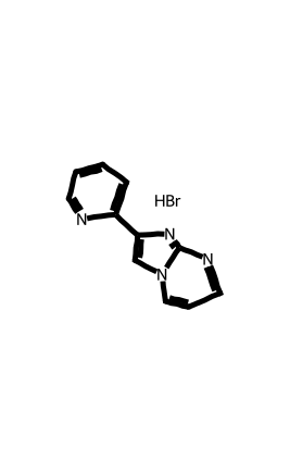 Br.c1ccc(-c2cn3cccnc3n2)nc1